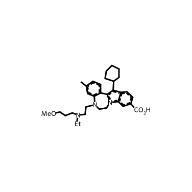 CCN(CCCOC)CCN1CCn2c(c(C3CCCCC3)c3ccc(C(=O)O)cc32)-c2ccc(C)cc21